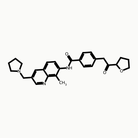 Cc1c(NC(=O)c2ccc(CC(=O)C3CCCO3)cc2)ccc2cc(CN3CCCC3)cnc12